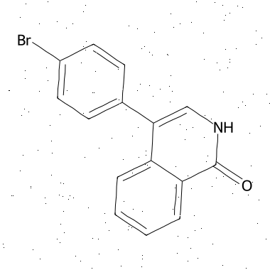 O=c1[nH]cc(-c2ccc(Br)cc2)c2ccccc12